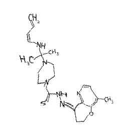 C=C/C=C\NC(C)(C)N1CCN(C(=S)N/N=C2/CCOc3c(C)ccnc32)CC1